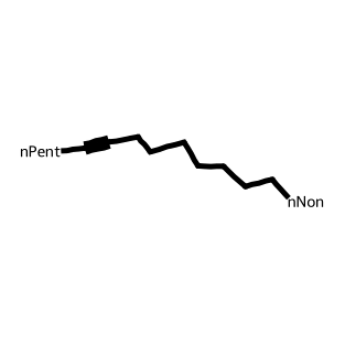 [CH2]CCCCC#CCCCCCCCCCCCCCCC[CH2]